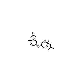 CC(C)CC1(C)OCC(OC2COC(C)(CC(C)C)OC2)CO1